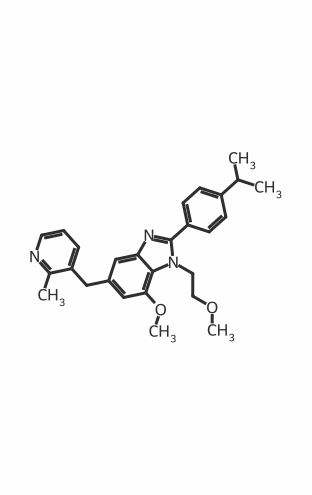 COCCn1c(-c2ccc(C(C)C)cc2)nc2cc(Cc3cccnc3C)cc(OC)c21